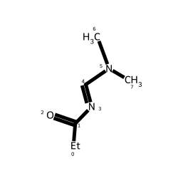 CCC(=O)N=CN(C)C